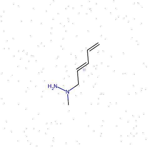 C=C/C=C/CN(C)N